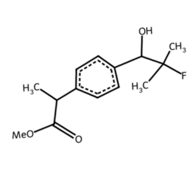 COC(=O)C(C)c1ccc(C(O)C(C)(C)F)cc1